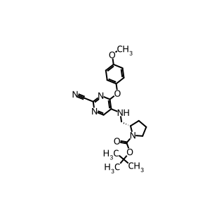 COc1ccc(Oc2nc(C#N)ncc2NC[C@@H]2CCCN2C(=O)OC(C)(C)C)cc1